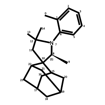 Cc1ccccc1N1[C@@H](C)C2(CC1(C)C)C1CC3CC(C1)CC2C3